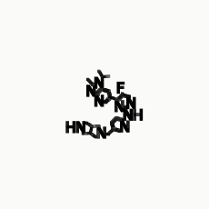 Cc1nc2ncc(-c3nc(Nc4ccc(CN5CC6CNCC6C5)cn4)ncc3F)cc2n1C(C)C